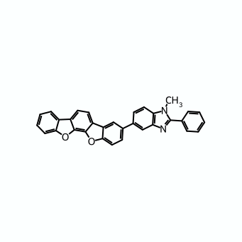 Cn1c(-c2ccccc2)nc2cc(-c3ccc4oc5c(ccc6c7ccccc7oc65)c4c3)ccc21